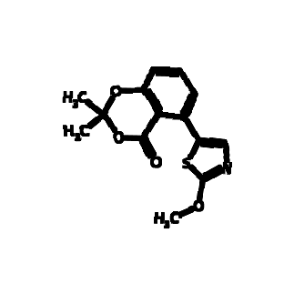 COc1ncc(-c2cccc3c2C(=O)OC(C)(C)O3)s1